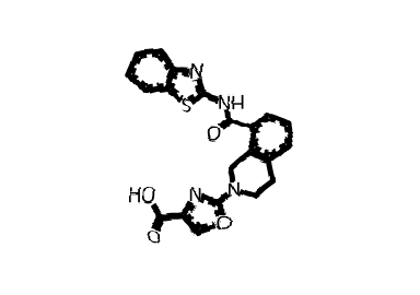 O=C(O)c1coc(N2CCc3cccc(C(=O)Nc4nc5ccccc5s4)c3C2)n1